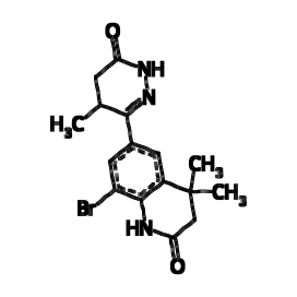 CC1CC(=O)NN=C1c1cc(Br)c2c(c1)C(C)(C)CC(=O)N2